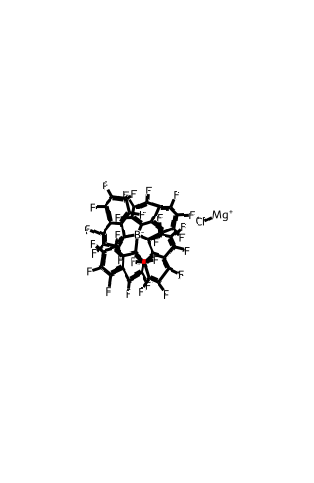 Fc1c(F)c(F)c2c([B-](c3c(F)c(F)c(F)c4c(F)c(F)c(F)c(F)c34)(c3c(F)c(F)c(F)c4c(F)c(F)c(F)c(F)c34)c3c(F)c(F)c(F)c4c(F)c(F)c(F)c(F)c34)c(F)c(F)c(F)c2c1F.[Mg+][Cl]